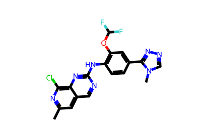 Cc1cc2cnc(Nc3ccc(-c4nncn4C)cc3OC(F)F)nc2c(Cl)n1